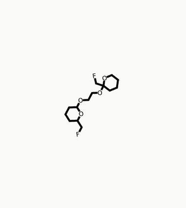 FCC1CCCC(OCCOC2(CF)CCCCO2)O1